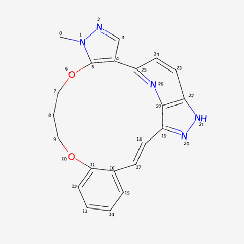 Cn1ncc2c1OCCCOc1ccccc1/C=C/c1n[nH]c3ccc-2nc13